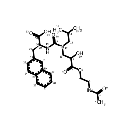 CC(=O)NCCOC(=O)C(O)CN(CC(C)C)C(=O)N[C@@H](Cc1ccc2ccccc2c1)C(=O)O